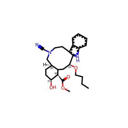 CCCCO[C@H]1CC2[C@@H](CC[C@H](O)[C@@H]2C(=O)OC)CN(C#N)CCc2c1[nH]c1ccccc21